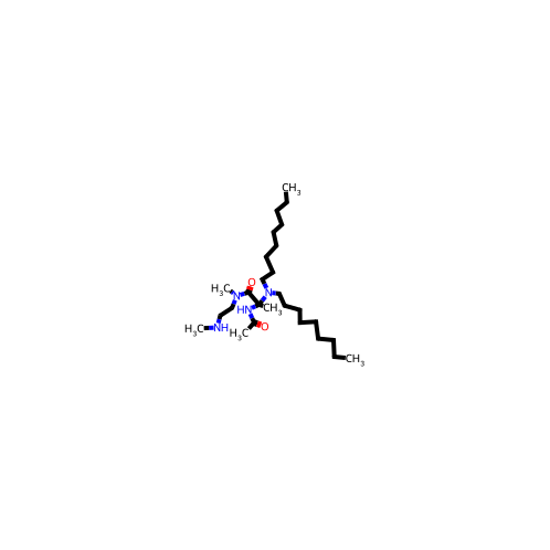 CCCCCCCCCN(CCCCCCCCC)C(C)(NC(C)=O)C(=O)N(C)CCNC